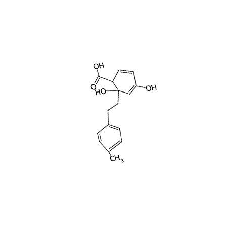 Cc1ccc(CCC2(O)C=C(O)C=CC2C(=O)O)cc1